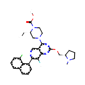 CN1CCC[C@@H]1COc1nc(N2CCN(C(=O)OC(C)(C)C)[C@@H](CC#N)C2)c2cnc(-c3cccc4cccc(Cl)c34)c(F)c2n1